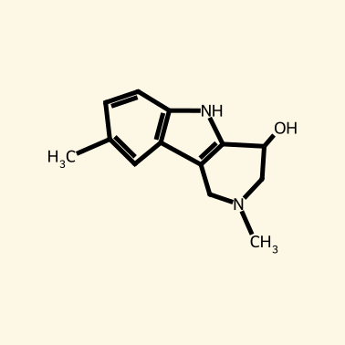 Cc1ccc2[nH]c3c(c2c1)CN(C)CC3O